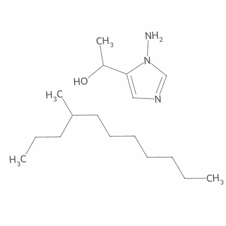 CC(O)c1cncn1N.CCCCCCCC(C)CCC